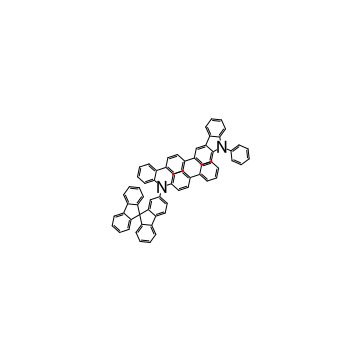 c1ccc(-c2ccc(N(c3ccc4c(c3)C3(c5ccccc5-c5ccccc53)c3ccccc3-4)c3ccccc3-c3ccc(-c4ccc5c(c4)c4ccccc4n5-c4ccccc4)cc3)cc2)cc1